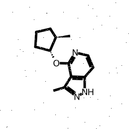 Cc1n[nH]c2ccnc(O[C@@H]3CCC[C@H]3C)c12